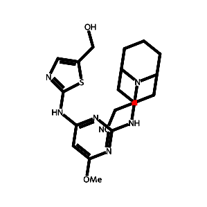 COc1cc(Nc2ncc(CO)s2)nc(NC2CC3CCCC(C2)N3CCC#N)n1